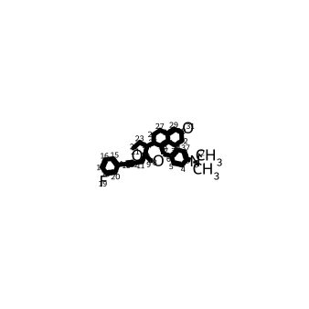 CN(C)c1ccc(C2OCC3(CC#Cc4cccc(F)c4)OCCC3C3CCC4=CC(=O)CCC4=C23)cc1